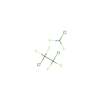 FC(F)(Cl)C(F)(F)Cl.FC(F)Cl